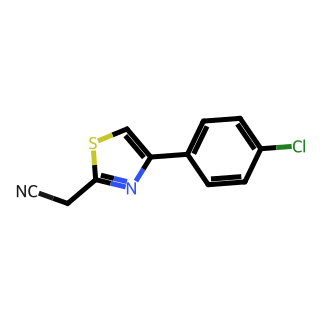 N#CCc1nc(-c2ccc(Cl)cc2)cs1